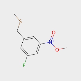 CO[N+](=O)c1cc(F)cc(CSC)c1